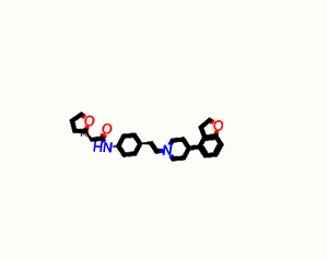 O=C(C[C@H]1CCCO1)N[C@H]1CC[C@H](CCN2CCC(c3cccc4c3CCO4)CC2)CC1